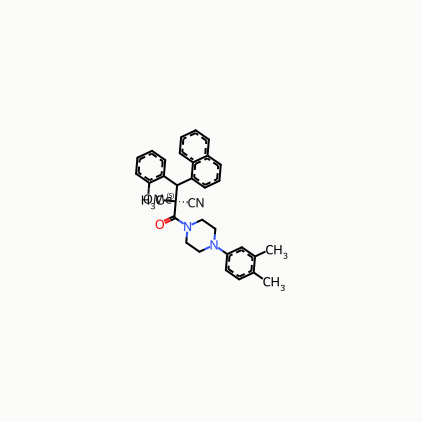 COc1ccccc1C(c1cccc2ccccc12)[C@@](C)(C#N)C(=O)N1CCN(c2ccc(C)c(C)c2)CC1